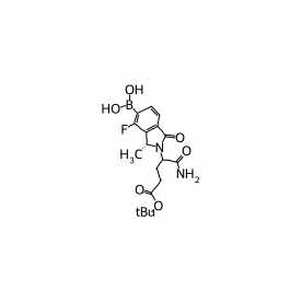 C[C@@H]1c2c(ccc(B(O)O)c2F)C(=O)N1C(CCC(=O)OC(C)(C)C)C(N)=O